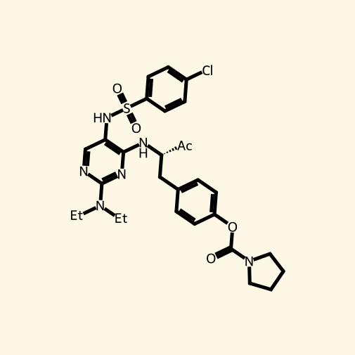 CCN(CC)c1ncc(NS(=O)(=O)c2ccc(Cl)cc2)c(N[C@@H](Cc2ccc(OC(=O)N3CCCC3)cc2)C(C)=O)n1